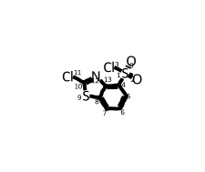 O=S(=O)(Cl)c1cccc2sc(Cl)nc12